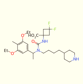 CCOc1cc(C(C)N(CCCCC2CCNCC2)C(=O)NC2(C(=O)O)CC(F)(F)C2)cc(OCC)c1C